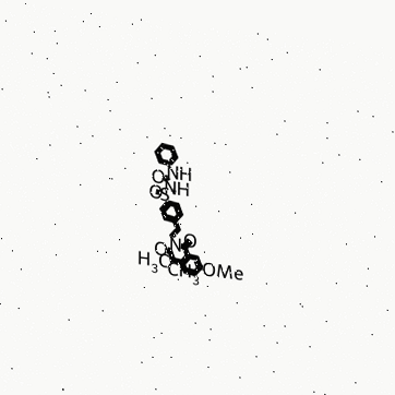 COc1ccc2c(c1)C(=O)N(CCc1ccc([S+]([O-])NC(=O)NC3CCCCC3)cc1)C(=O)C2(C)C